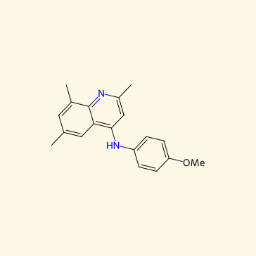 COc1ccc(Nc2cc(C)nc3c(C)cc(C)cc23)cc1